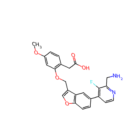 COc1ccc(CC(=O)O)c(OCc2coc3ccc(-c4ccnc(CN)c4F)cc23)c1